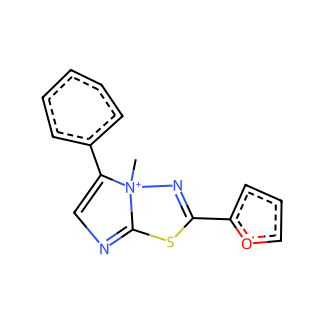 C[N+]12N=C(c3ccco3)SC1=NC=C2c1ccccc1